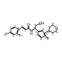 O=C(/C=C/c1ccc(F)cc1F)NC(CO)c1ccc(F)c(N2CCOCC2)c1